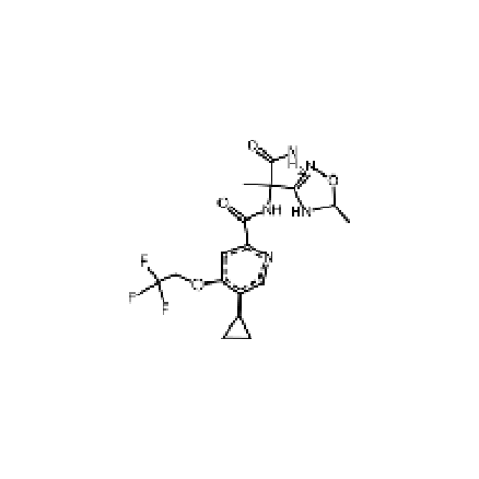 CC1NC(C(C)(NC(=O)c2cc(OCC(F)(F)F)c(C3CC3)cn2)C(N)=O)=NO1